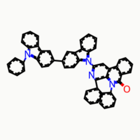 O=c1c2ccccc2c2cc(-n3c4ccccc4c4cc(-c5ccc6c(c5)c5ccccc5n6-c5ccccc5)ccc43)nc(-c3ccccc3)c2n1-c1ccccc1